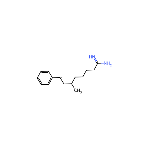 CC(C[CH]c1ccccc1)CCCCC(=N)N